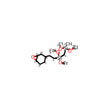 CCO[Si](C)(C[Si](CCC1CCC2OC2C1)(OCC)OCC)OCC